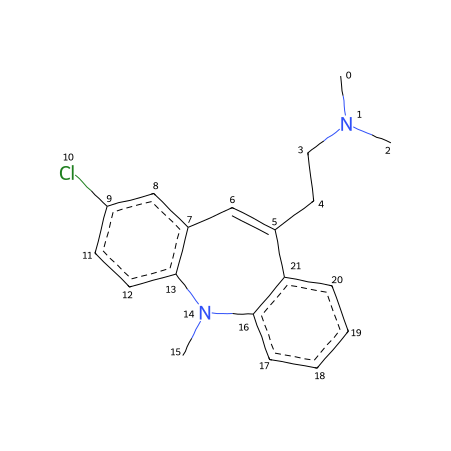 CN(C)CCC1=Cc2cc(Cl)ccc2N(C)c2ccccc21